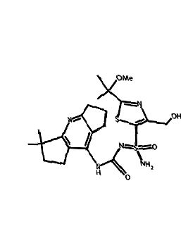 COC(C)(C)c1nc(CO)c(S(N)(=O)=NC(=O)Nc2c3c(nc4c2CCC4(C)C)CCC3)s1